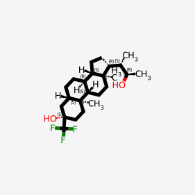 C[C@@H]([C@H]1CC[C@H]2[C@@H]3CC[C@H]4C[C@](O)(C(F)(F)F)CC[C@]4(C)[C@H]3CC[C@]12C)[C@@H](C)O